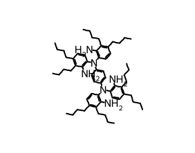 CCCCc1ccc(N(c2ccc(N(c3ccc(CCCC)c(CCCC)c3N)c3ccc(CCCC)c(CCCC)c3N)cc2)c2ccc(CCCC)c(CCCC)c2N)c(N)c1CCCC